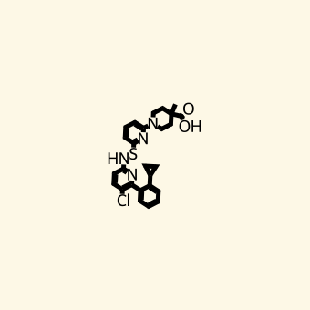 CC1(C(=O)O)CCN(c2cccc(SNc3ccc(Cl)c(-c4ccccc4C4CC4)n3)n2)CC1